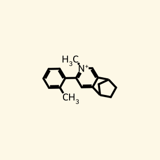 Cc1ccccc1-c1cc2c(c[n+]1C)C1CCC2C1